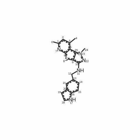 Cc1cc(C)c2c(n1)sc1c(NCc3ccc4[nH]ccc4c3)nn(C)c12